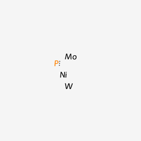 [Mo].[Ni].[P].[W]